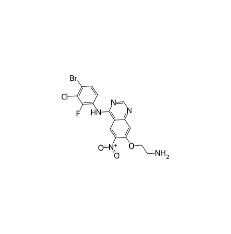 NCCOc1cc2ncnc(Nc3ccc(Br)c(Cl)c3F)c2cc1[N+](=O)[O-]